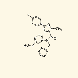 Cc1oc(-c2ccc(F)cc2)cc1C(=O)N(Cc1ccccc1)c1cccc(CO)c1